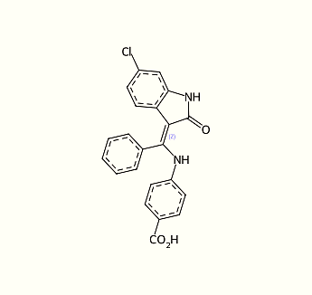 O=C1Nc2cc(Cl)ccc2/C1=C(/Nc1ccc(C(=O)O)cc1)c1ccccc1